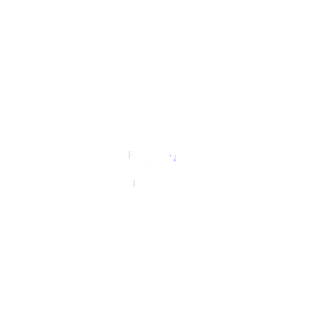 CON1CC(F)(F)C1